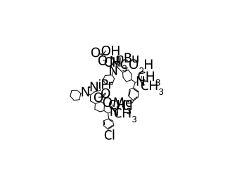 CCCCC1(C(=O)O)N=CN(C2CCCCC2)C1C1CCC(C(c2ccc(Cl)cc2)N(C)C)CC1.COC(=O)O.COC(=O)OC1(CC(C)C)N=CN(C2CCCCC2)C1CC1CCC(C(c2ccc(Cl)cc2)N(C)C)CC1